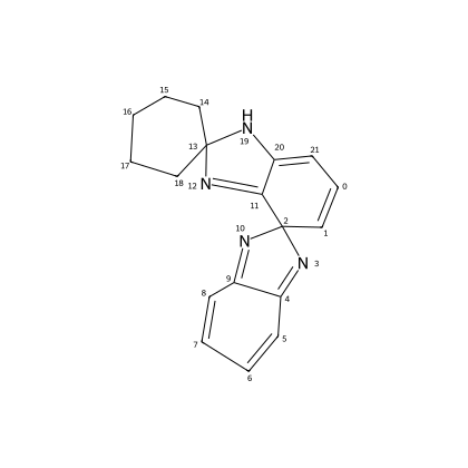 C1=CC2(N=c3ccccc3=N2)C2=NC3(CCCCC3)NC2=C1